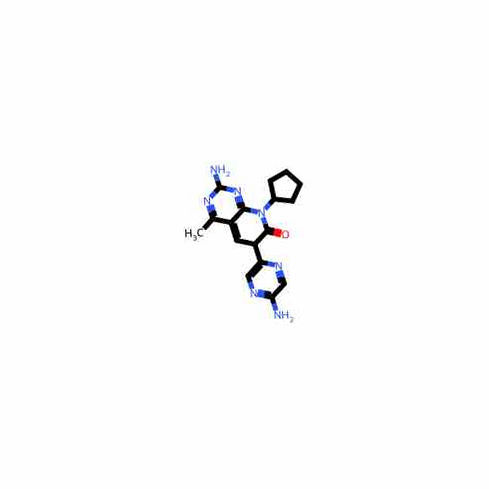 CC1=NC(N)N=C2C1=CC(c1cnc(N)cn1)C(=O)N2C1CCCC1